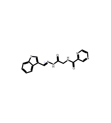 O=C(CNC(=O)c1cnccn1)N/N=C/c1csc2ccccc12